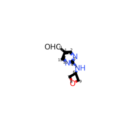 O=Cc1cnc(NC2COC2)nc1